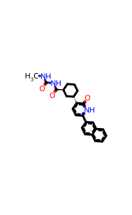 CNC(=O)NC(=O)[C@H]1CCC[C@H](c2ccc(-c3ccc4ccccc4c3)[nH]c2=O)C1